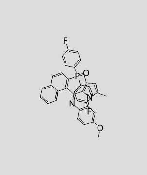 COc1ccc2nc(-c3c(P(=O)(c4ccc(F)cc4)c4ccc(F)cc4)ccc4ccccc34)c3c(C)cc(C)n3c2c1